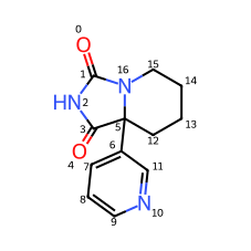 O=C1NC(=O)C2(c3cccnc3)CCCCN12